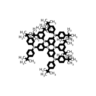 CC(C)(C)c1ccc(N(c2ccc(C(C)(C)C)cc2)c2ccc3c(c2)N(c2cc(C(C)(C)C)cc(C(C)(C)C)c2)c2cc(N(c4ccc(C(C)(C)C)cc4)c4ccc(C(C)(C)C)cc4)cc4c2B3c2ccc(N(c3ccc(C(C)(C)C)cc3)c3ccc(C(C)(C)C)cc3)cc2N4c2cc(C(C)(C)C)cc(C(C)(C)C)c2)cc1